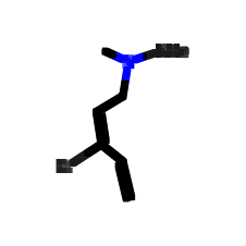 C=C/C(=C\CN(C)NC)CC